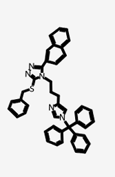 c1ccc(CSc2nnc(-c3ccc4ccccc4c3)n2CCCc2cn(C(c3ccccc3)(c3ccccc3)c3ccccc3)cn2)cc1